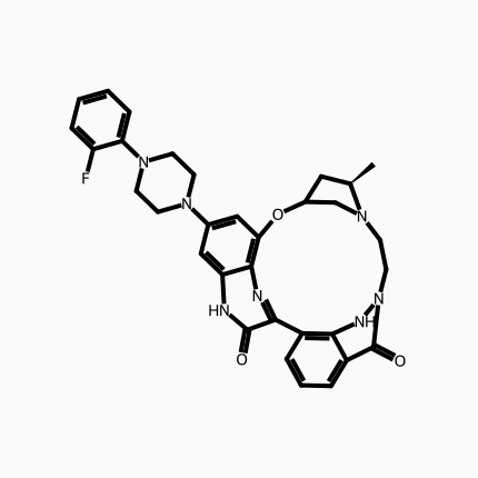 C[C@@H]1CC2CN1CCn1[nH]c3c(cccc3c1=O)-c1nc3c(cc(N4CCN(c5ccccc5F)CC4)cc3[nH]c1=O)O2